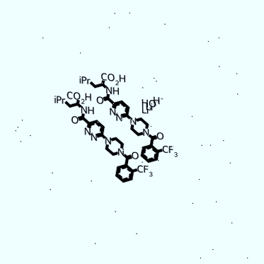 CC(C)CC(NC(=O)c1ccc(N2CCN(C(=O)c3ccccc3C(F)(F)F)CC2)nn1)C(=O)O.CC(C)CC(NC(=O)c1ccc(N2CCN(C(=O)c3ccccc3C(F)(F)F)CC2)nn1)C(=O)O.[H-].[Li+].[Li+].[OH-]